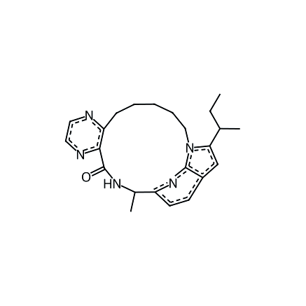 CCC(C)c1cc2ccc3nc2n1CCCCCc1nccnc1C(=O)NC3C